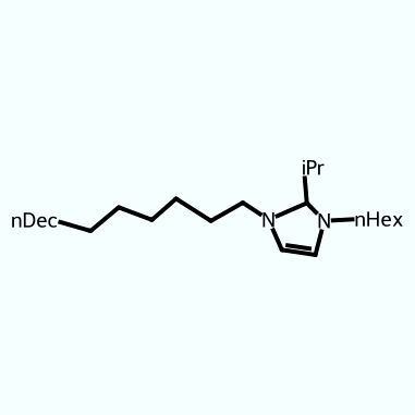 CCCCCCCCCCCCCCCCN1C=CN(CCCCCC)C1C(C)C